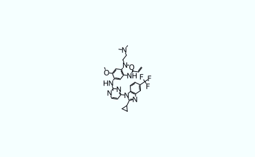 C=CC(=O)Nc1cc(Nc2nccc(-n3c(C4CC4)nc4cc(C(F)(F)F)ccc43)n2)c(OC)cc1N(C)CCN(C)C